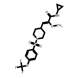 COC(=CC1CCN(S(=O)(=O)c2ccc(OC(F)(F)F)cc2)CC1)C(=O)NC1CC1